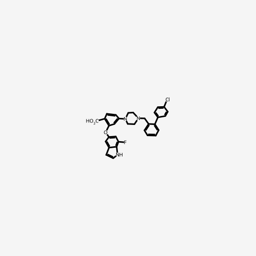 O=C(O)c1ccc(N2CCN(Cc3ccccc3-c3ccc(Cl)cc3)CC2)cc1Oc1cc(F)c2[nH]ccc2c1